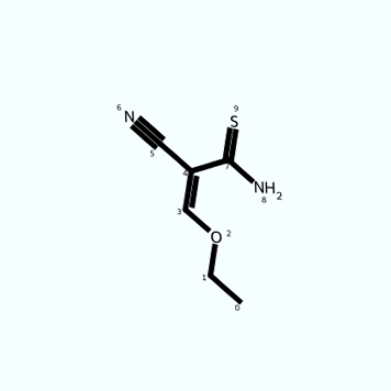 CCO/C=C(/C#N)C(N)=S